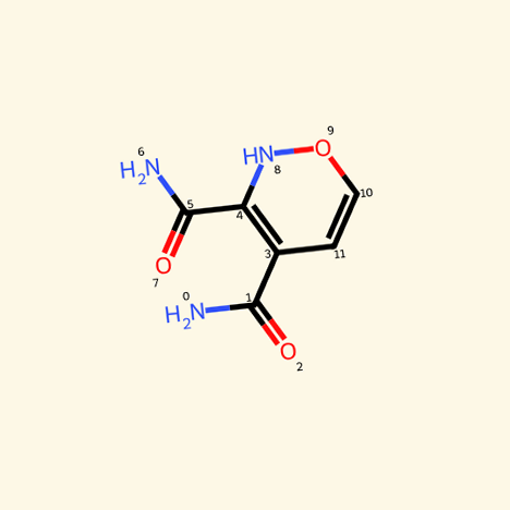 NC(=O)C1=C(C(N)=O)NOC=C1